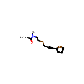 CCOC(=O)C(=O)N(CCSCC#Cc1cccs1)C(C)(C)C